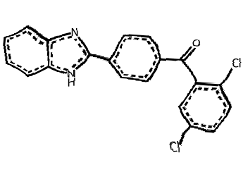 O=C(c1ccc(-c2nc3ccccc3[nH]2)cc1)c1cc(Cl)ccc1Cl